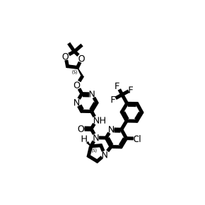 CC1(C)OC[C@H](COc2ncc(NC(=O)N3c4nc(-c5cccc(C(F)(F)F)c5)c(Cl)cc4N4CC[C@H]3C4)cn2)O1